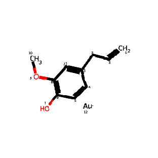 C=CCc1ccc(O)c(OC)c1.[Au]